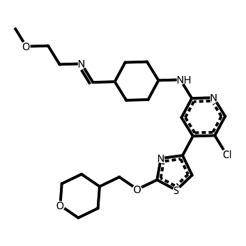 COCC/N=C/C1CCC(Nc2cc(-c3csc(OCC4CCOCC4)n3)c(Cl)cn2)CC1